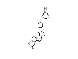 C1=CC=CNC=C1.Cc1ccc(C2C=c3c(ccc4c3=CCc3ccc(F)cc3-4)CC2)cc1